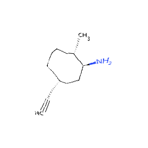 C#C[C@@H]1CC[C@H](C)[C@@H](N)C1